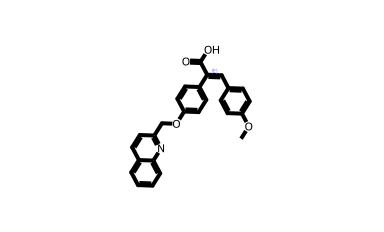 COc1ccc(/C=C(/C(=O)O)c2ccc(OCc3ccc4ccccc4n3)cc2)cc1